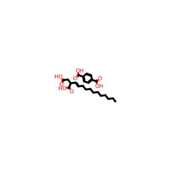 CCCCCCCCCC/C=C/C(CC(=O)O)C(=O)O.O=C(O)c1ccc(C(=O)O)cc1